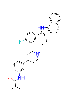 CC(C)C(=O)Nc1cccc(C2CCN(CCCc3c(-c4ccc(F)cc4)[nH]c4c3ccc3ccccc34)CC2)c1